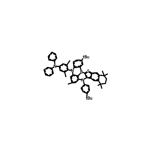 Cc1cc2c3c(c1)N(c1ccc(C(C)(C)C)cc1)c1c(sc4cc5c(cc14)C(C)(C)CCC5(C)C)B3c1cc(C(C)(C)C)ccc1N2c1c(C)cc(N(c2ccccc2)c2ccccc2)cc1C